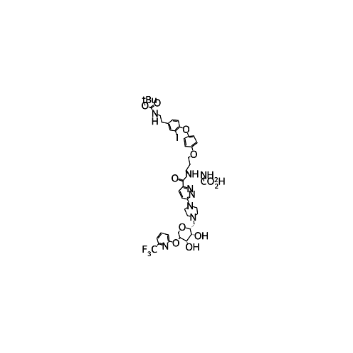 CC(C)(C)OC(=O)NCCc1ccc(Oc2ccc(OCCCNC(=O)c3ccc(N4CCN(C[C@H]5OC[C@H](Oc6cccc(C(F)(F)F)n6)[C@@H](O)[C@H]5O)CC4)nn3)cc2)c(I)c1.NC(=O)O